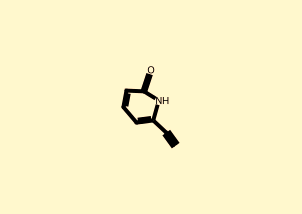 C#Cc1cccc(=O)[nH]1